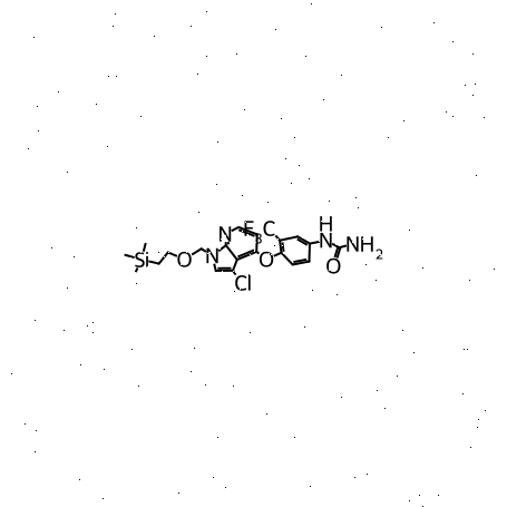 C[Si](C)(C)CCOCn1cc(Cl)c2c(Oc3ccc(NC(N)=O)cc3C(F)(F)F)ccnc21